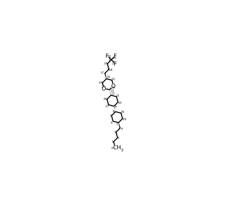 CCCCC[C@H]1CC[C@H](C2CCC([C@H]3OC[C@H](CCCC(F)(F)F)CO3)CC2)CC1